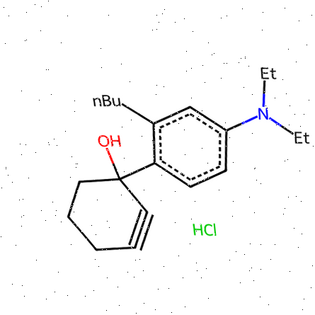 CCCCc1cc(N(CC)CC)ccc1C1(O)C#CCCC1.Cl